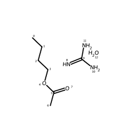 CCCCOC(C)=O.N=C(N)N.O